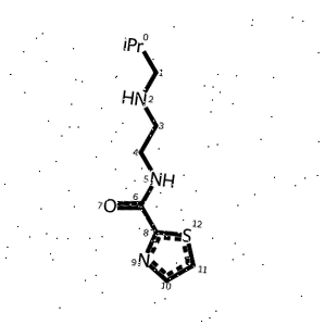 CC(C)CNCCNC(=O)c1nccs1